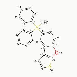 CC(C)S(c1ccccc1)(c1ccccc1)c1ccc2oc3sccc3c2c1